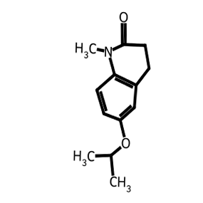 CC(C)Oc1ccc2c(c1)CCC(=O)N2C